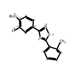 Cc1ccccc1-c1nc(-c2ccc(OCC(C)C)c(Cl)c2)no1